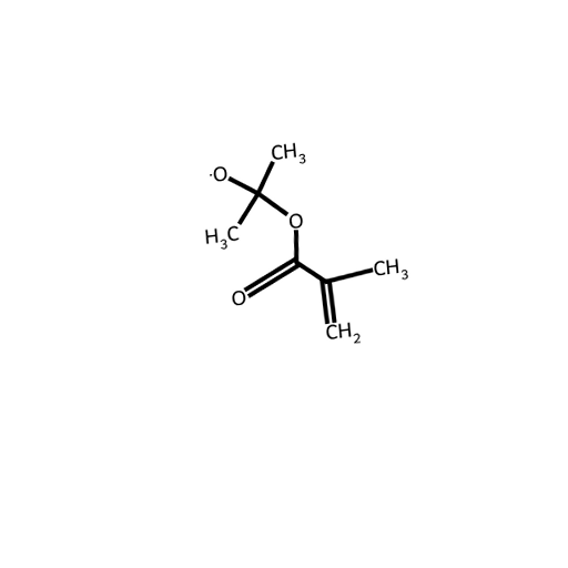 C=C(C)C(=O)OC(C)(C)[O]